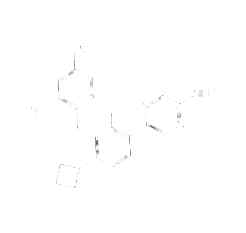 CSc1ccc(Cc2c(C3CCC3)ccc(-c3cnc(N)cn3)c2F)c(C#N)c1